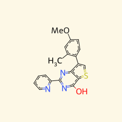 COc1ccc(-c2csc3c(O)nc(-c4ccccn4)nc23)c(C)c1